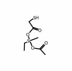 CC[Si](C)(OC(C)=O)OC(=O)CS